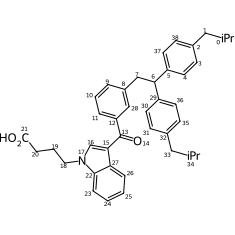 CC(C)Cc1ccc(C(Cc2cccc(C(=O)c3cn(CCCC(=O)O)c4ccccc34)c2)c2ccc(CC(C)C)cc2)cc1